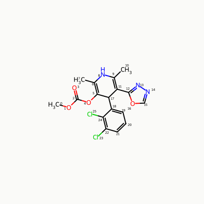 COC(=O)OC1=C(C)NC(C)=C(c2nnco2)C1c1cccc(Cl)c1Cl